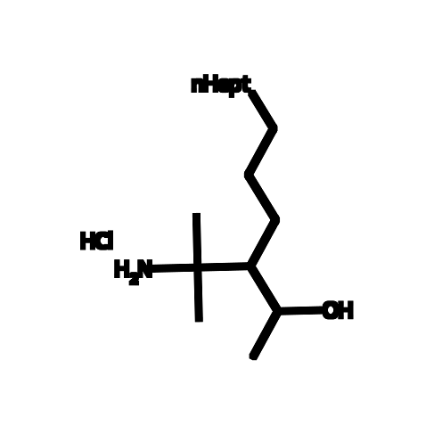 CCCCCCCCCCC(C(C)O)C(C)(C)N.Cl